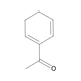 CC(=O)C1=CC[CH]C=C1